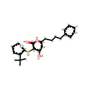 CC(C)(C)c1ccccc1Sc1c(O)cc(CCCCc2ccccc2)oc1=O